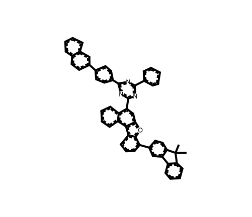 CC1(C)c2ccccc2-c2cc(-c3cccc4c3oc3cc(-c5nc(-c6ccccc6)nc(-c6ccc(-c7ccc8ccccc8c7)cc6)n5)c5ccccc5c34)ccc21